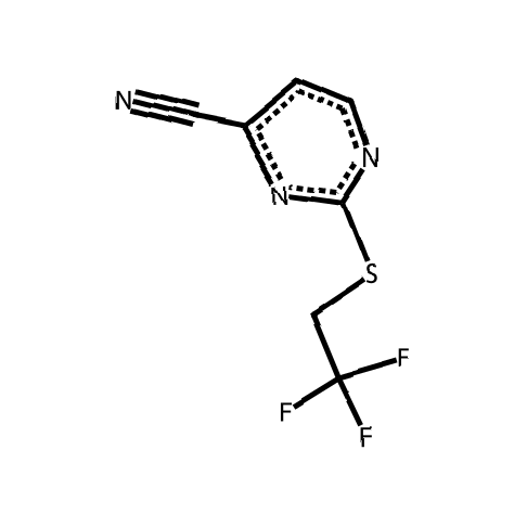 N#Cc1ccnc(SCC(F)(F)F)n1